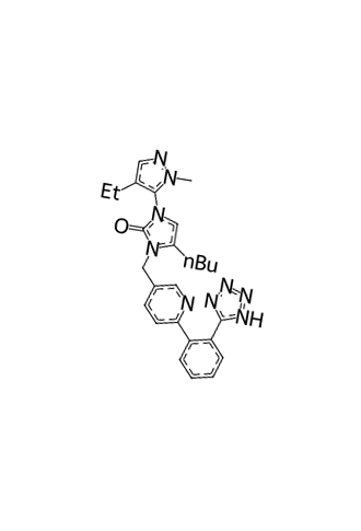 CCCCc1cn(-c2c(CC)cnn2C)c(=O)n1Cc1ccc(-c2ccccc2-c2nnn[nH]2)nc1